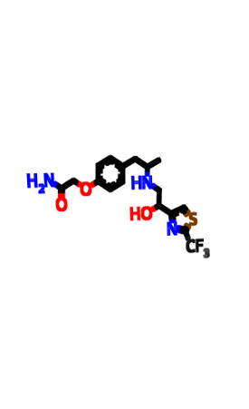 CC(Cc1ccc(OCC(N)=O)cc1)NCC(O)c1csc(C(F)(F)F)n1